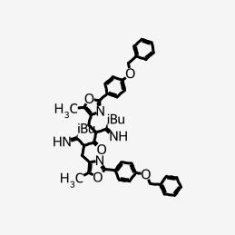 CC[C@@H](C)C(=N)C(Cc1nc(-c2ccc(OCc3ccccc3)cc2)oc1C)C(=O)C(Cc1nc(-c2ccc(OCc3ccccc3)cc2)oc1C)C(=N)[C@H](C)CC